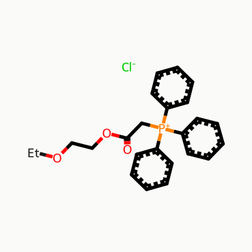 CCOCCOC(=O)C[P+](c1ccccc1)(c1ccccc1)c1ccccc1.[Cl-]